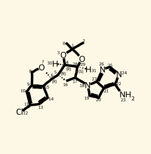 CC1(C)O[C@@H]2[C@@H]([C@H]3OCc4cc(Cl)ccc43)CC(n3ccc4c(N)ncnc43)[C@@H]2O1